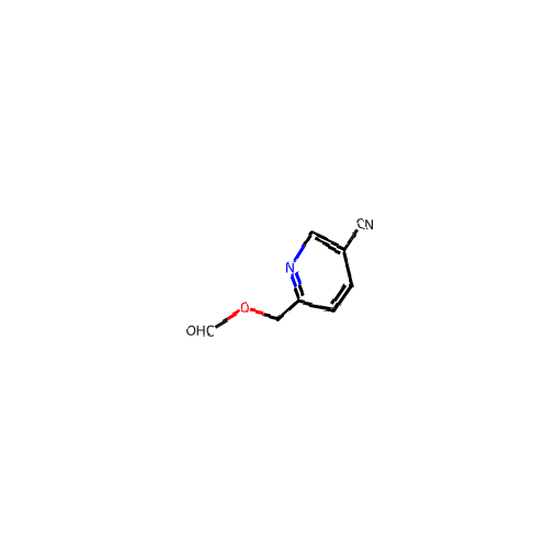 N#Cc1ccc(COC=O)nc1